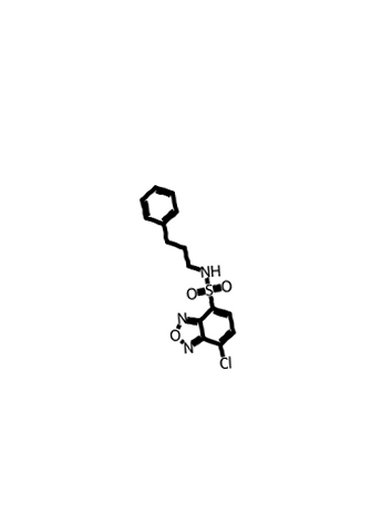 O=S(=O)(NCCCc1ccccc1)c1ccc(Cl)c2nonc12